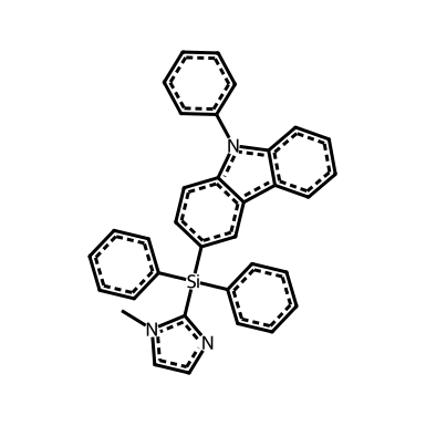 Cn1ccnc1[Si](c1ccccc1)(c1ccccc1)c1ccc2c(c1)c1ccccc1n2-c1ccccc1